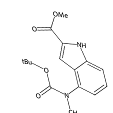 COC(=O)c1cc2c(N(C)C(=O)OC(C)(C)C)cccc2[nH]1